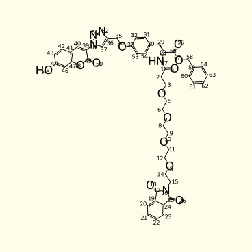 O=C(CCOCCOCCOCCOCCN1C(=O)c2ccccc2C1=O)N[C@@H](Cc1ccc(OCc2cn(-c3cc4ccc(O)cc4oc3=O)nn2)cc1)C(=O)OCc1ccccc1